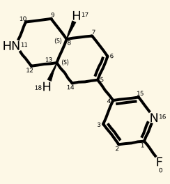 Fc1ccc(C2=CC[C@H]3CCNC[C@H]3C2)cn1